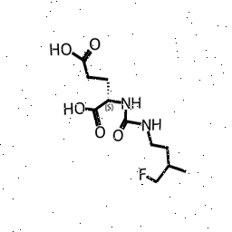 CC(CF)CCNC(=O)N[C@@H](CCC(=O)O)C(=O)O